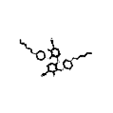 CCCCCC[C@H]1CC[C@H](Cc2c(Oc3ccc(C#N)c(F)c3C[C@H]3CC[C@H](CCCCCC)CC3)ccc(C#N)c2F)CC1